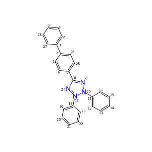 c1ccc(-c2ccc(-c3nn(-c4ccccc4)[n+](-c4ccccc4)n3)cc2)cc1